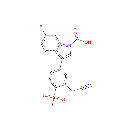 CS(=O)(=O)c1ccc(-c2cn(C(=O)O)c3cc(F)ccc23)cc1CC#N